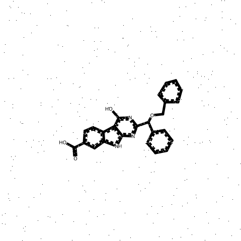 O=C(O)c1ccc2c(c1)[nH]c1nc(C(OCc3ccccc3)c3ccccc3)nc(O)c12